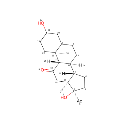 [CH2]C(=O)[C@@]1(O)CC[C@H]2[C@@H]3CCC4CC(O)CC[C@]4(C)[C@H]3C(=O)C[C@@]21C